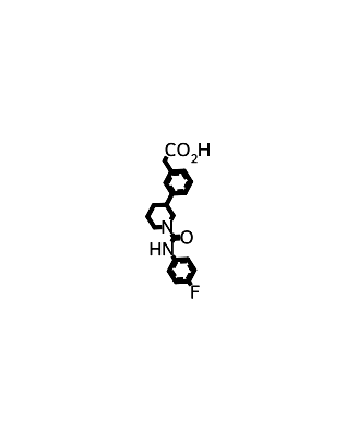 O=C(O)Cc1cccc(C2CCCN(C(=O)Nc3ccc(F)cc3)C2)c1